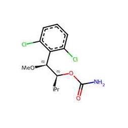 CO[C@@H](c1c(Cl)cccc1Cl)[C@@H](OC(N)=O)C(C)C